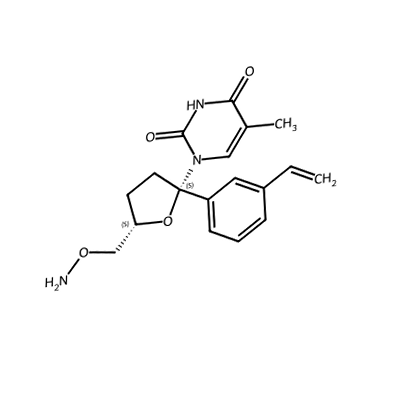 C=Cc1cccc([C@]2(n3cc(C)c(=O)[nH]c3=O)CC[C@@H](CON)O2)c1